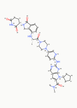 C[C@H](Nc1cccc2c1CN([C@H]1CCC(=O)NC1=O)C2=O)C(=O)N1CCN(c2ccc(Nc3ncc4cc(C(=O)N(C)C)n(C5CCCC5)c4n3)nc2)CC1